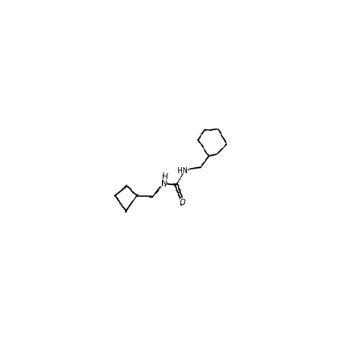 O=C(NCC1CCCCC1)NCC1CCC1